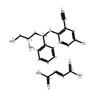 N#Cc1cc(Cl)cnc1S[C@H](C[C@H](N)CO)c1ccccc1.O=C(O)/C=C/C(=O)O